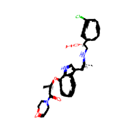 C[C@H](Cc1c[nH]c2c(O[C@H](C)C(=O)N3CCOCC3)cccc12)NC[C@H](O)c1cccc(Cl)c1